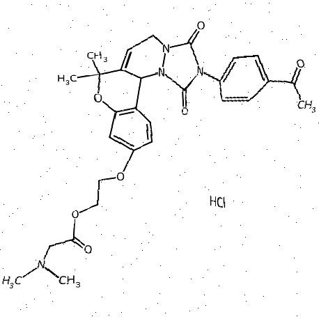 CC(=O)c1ccc(-n2c(=O)n3n(c2=O)C2C(=CC3)C(C)(C)Oc3cc(OCCOC(=O)CN(C)C)ccc32)cc1.Cl